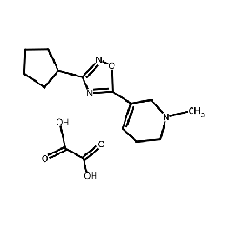 CN1CCC=C(c2nc(C3CCCC3)no2)C1.O=C(O)C(=O)O